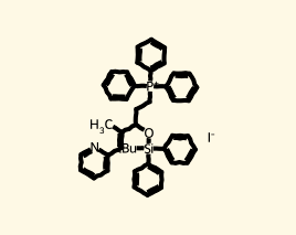 CC(=Cc1ccccn1)C(CC[P+](c1ccccc1)(c1ccccc1)c1ccccc1)O[Si](c1ccccc1)(c1ccccc1)C(C)(C)C.[I-]